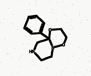 c1ccc(C23CNCCN2OCCO3)cc1